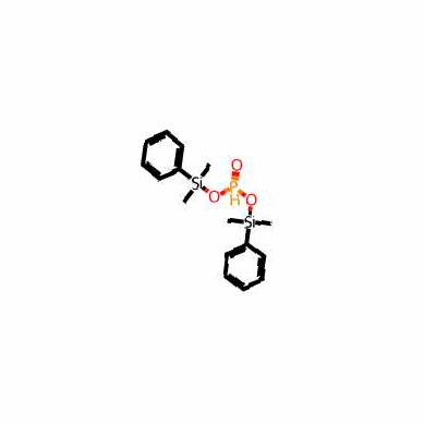 C[Si](C)(O[PH](=O)O[Si](C)(C)c1ccccc1)c1ccccc1